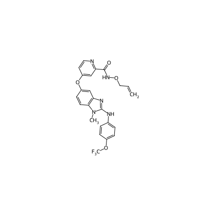 C=CCONC(=O)c1cc(Oc2ccc3c(c2)nc(Nc2ccc(OC(F)(F)F)cc2)n3C)ccn1